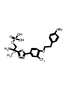 CCCCc1ccc(CCOc2ccc(-c3nnc([C@@](C)(N)COP(=O)(O)O)s3)cc2C(F)(F)F)cc1